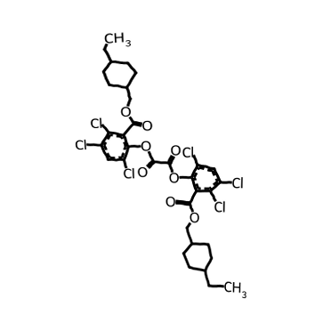 CCC1CCC(COC(=O)c2c(Cl)c(Cl)cc(Cl)c2OC(=O)C(=O)Oc2c(Cl)cc(Cl)c(Cl)c2C(=O)OCC2CCC(CC)CC2)CC1